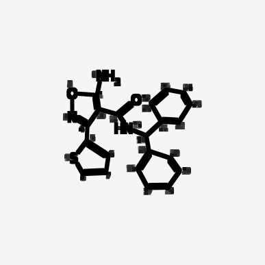 Nc1onc(-c2cccs2)c1C(=O)NC(c1ccccc1)c1ccccc1